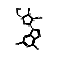 CC(=O)OC[C@H]1O[C@@H](n2cnc3c(Cl)nc(Cl)nc32)[C@H](OC(C)=O)[C@@H]1C